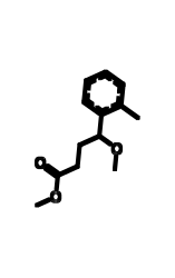 COC(=O)CCC(OC)c1ccccc1C